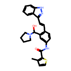 Cc1ccsc1C(=O)Nc1ccc(C=Cc2n[nH]c3ccccc23)c(C(O)N2CCCC2)c1